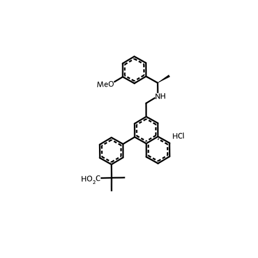 COc1cccc([C@@H](C)NCc2cc(-c3cccc(C(C)(C)C(=O)O)c3)c3ccccc3c2)c1.Cl